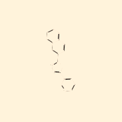 c1cncc(-c2nnc(-c3ccc4ccccc4c3)o2)c1